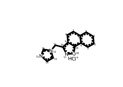 Cl.c1ccc2c(c1)ccc1c(Cn3ccnc3)noc12